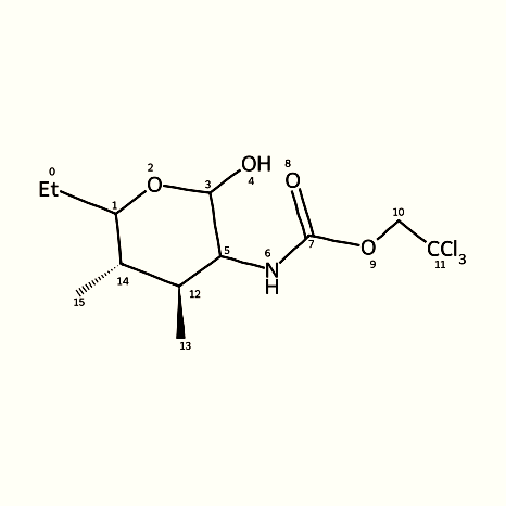 CCC1OC(O)C(NC(=O)OCC(Cl)(Cl)Cl)[C@@H](C)[C@@H]1C